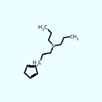 C1=CCC=C1.CCC[Si](CCC)CCC